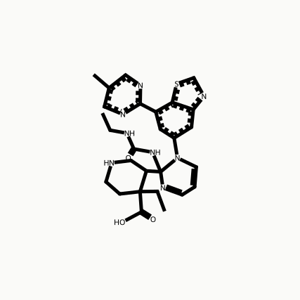 CCNC(=O)NC1(C2CNCCC2(CC)C(=O)O)N=CC=CN1c1cc(-c2ncc(C)cn2)c2scnc2c1